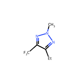 CCc1nn(C)nc1C(F)(F)F